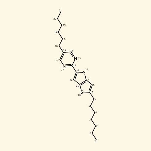 CCCCCCCc1cc2sc(-c3ncc(CCCCCC)cn3)cc2s1